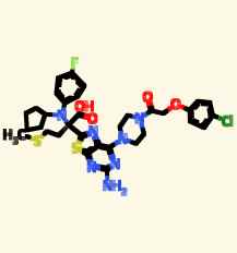 CSCC[C@@](C(=O)O)(c1nc2c(N3CCN(C(=O)COc4ccc(Cl)cc4)CC3)nc(N)nc2s1)N(c1ccc(F)cc1)C1CCCC1